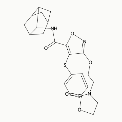 O=C(NC1C2CC3CC(C2)C1C3)c1onc(OCCN2CCOC2=O)c1Sc1ccccc1